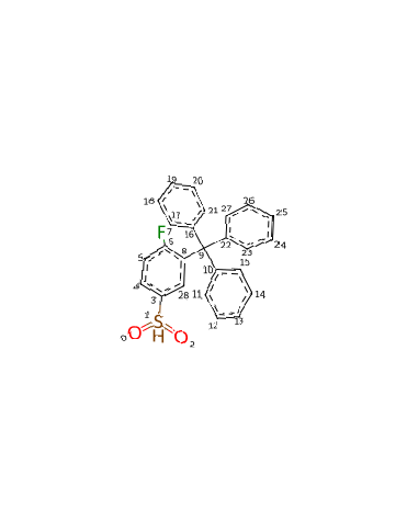 O=[SH](=O)c1ccc(F)c(C(c2ccccc2)(c2ccccc2)c2ccccc2)c1